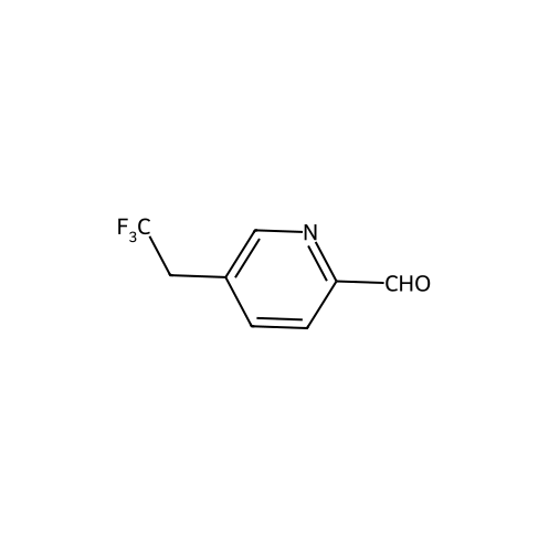 O=Cc1ccc(CC(F)(F)F)cn1